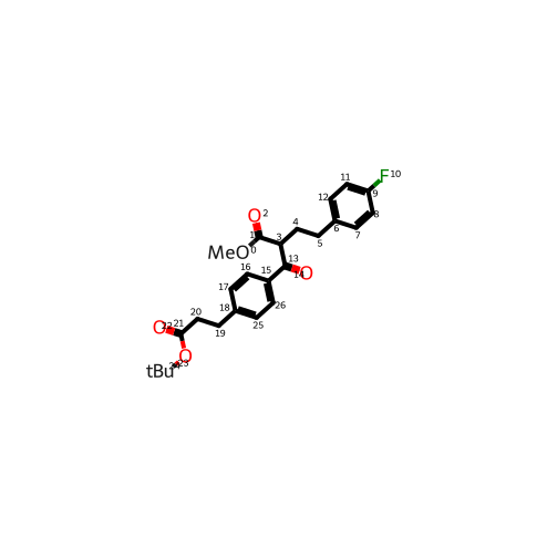 COC(=O)C(CCc1ccc(F)cc1)C(=O)c1ccc(CCC(=O)OC(C)(C)C)cc1